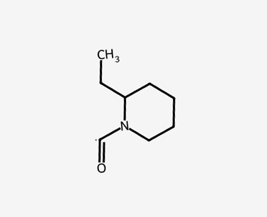 CCC1CCCCN1[C]=O